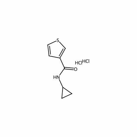 Cl.Cl.O=C(NC1CC1)c1ccsc1